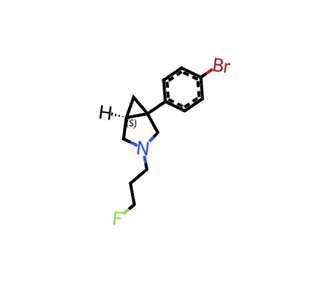 FCCCN1C[C@H]2CC2(c2ccc(Br)cc2)C1